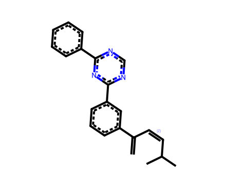 C=C(/C=C\C(C)C)c1cccc(-c2ncnc(-c3ccccc3)n2)c1